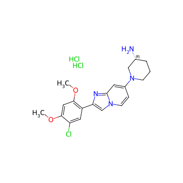 COc1cc(OC)c(-c2cn3ccc(N4CCC[C@@H](N)C4)cc3n2)cc1Cl.Cl.Cl